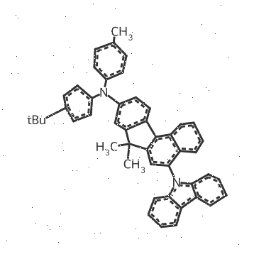 Cc1ccc(N(c2ccc(C(C)(C)C)cc2)c2ccc3c(c2)C(C)(C)c2cc(-n4c5ccccc5c5ccccc54)c4ccccc4c2-3)cc1